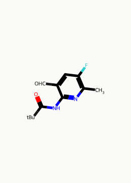 Cc1nc(NC(=O)C(C)(C)C)c(C=O)cc1F